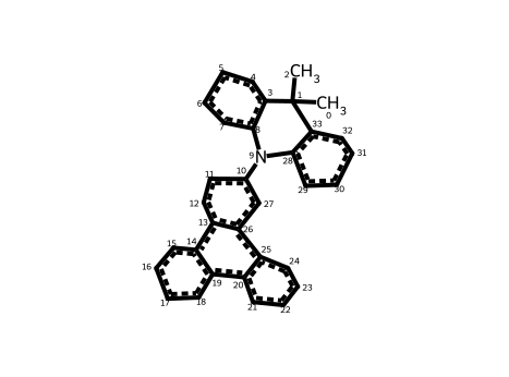 CC1(C)c2ccccc2N(c2ccc3c4ccccc4c4ccccc4c3c2)c2ccccc21